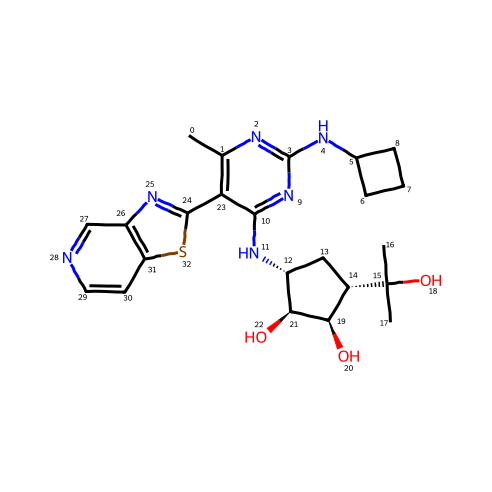 Cc1nc(NC2CCC2)nc(N[C@@H]2C[C@H](C(C)(C)O)[C@@H](O)[C@H]2O)c1-c1nc2cnccc2s1